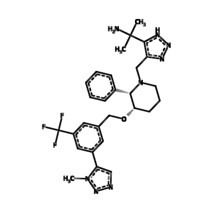 Cn1nncc1-c1cc(CO[C@H]2CCCN(Cc3nn[nH]c3C(C)(C)N)[C@H]2c2ccccc2)cc(C(F)(F)F)c1